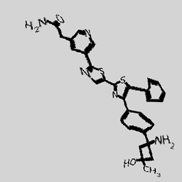 CC1(O)CC(N)(c2ccc(-c3nc(-c4cnc(-c5cncc(CC(N)=O)c5)s4)sc3-c3ccccc3)cc2)C1